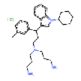 Cc1cccc(C(CCN(CCCN)CCCN)c2cn(C3CCCCC3)c3ccccc23)c1.Cl